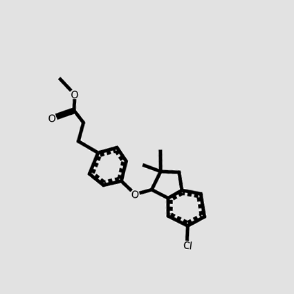 COC(=O)CCc1ccc(OC2c3cc(Cl)ccc3CC2(C)C)cc1